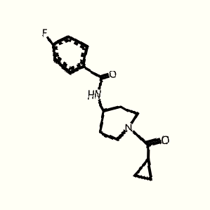 O=C(NC1CCN(C(=O)C2CC2)CC1)c1ccc(F)cc1